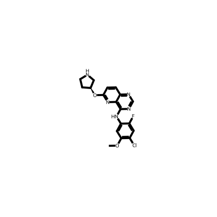 COc1cc(Nc2ncnc3ccc(O[C@H]4CCNC4)nc23)c(F)cc1Cl